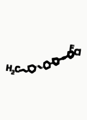 C=CCC[C@H]1CC[C@H](CC[C@H]2CC[C@H](c3ccc(C#Cc4ccc(Cl)c(F)c4)cc3)CC2)CC1